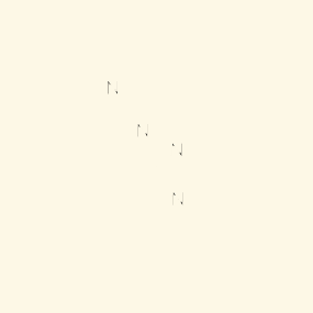 CN(C)c1cccc2c1n[c]n2C#N